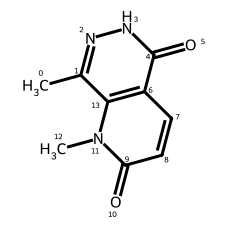 Cc1n[nH]c(=O)c2ccc(=O)n(C)c12